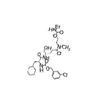 CCNC(=O)OCCN(C)C(=O)CC[C@@H](CO)NC(=O)[C@H](CC1CCCCC1)NC(=O)OCc1cccc(Cl)c1